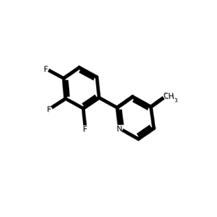 Cc1ccnc(-c2ccc(F)c(F)c2F)c1